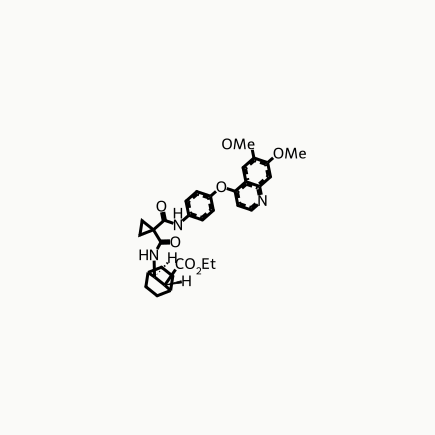 CCOC(=O)[C@@H]1C2CCC(CC2)[C@H]1NC(=O)C1(C(=O)Nc2ccc(Oc3ccnc4cc(OC)c(OC)cc34)cc2)CC1